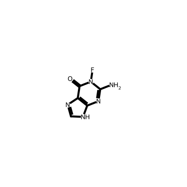 Nc1nc2[nH]cnc2c(=O)n1F